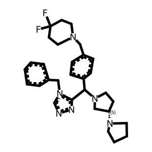 FC1(F)CCN(Cc2ccc(C(c3nncn3Cc3ccccc3)N3CC[C@H](N4CCCC4)C3)cc2)CC1